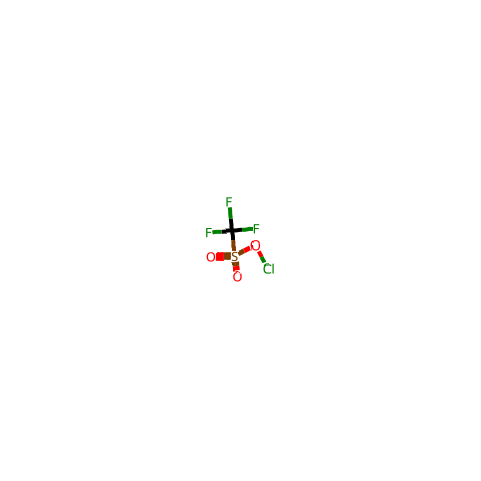 O=S(=O)(OCl)C(F)(F)F